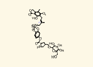 COc1c(C)c2c(c(O)c1C/C=C(\C)CNP1(=S)Oc3ccc(OC(=O)[C@@H]4CC(COC5O[C@H](CO)[C@H](O)[C@H](O)[C@H]5O)CN4)cc3O1)C(=O)OC2